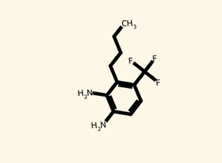 CCCCc1c(C(F)(F)F)ccc(N)c1N